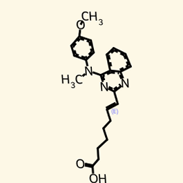 COc1ccc(N(C)c2nc(/C=C/CCCCCC(=O)O)nc3ccccc23)cc1